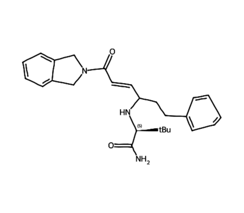 CC(C)(C)[C@H](NC(C=CC(=O)N1Cc2ccccc2C1)CCc1ccccc1)C(N)=O